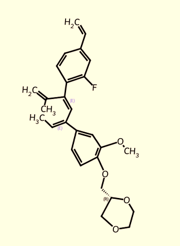 C=Cc1ccc(/C(=C/C(=C\C)c2ccc(OC[C@H]3COCCO3)c(OC)c2)C(=C)C)c(F)c1